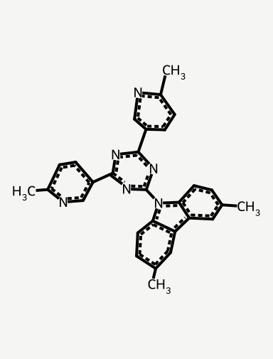 Cc1ccc2c(c1)c1cc(C)ccc1n2-c1nc(-c2ccc(C)nc2)nc(-c2ccc(C)nc2)n1